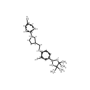 CC1(C)OB(c2ccc(OCC3CCN(c4ncc(Cl)cn4)C3)c(F)c2)OC1(C)C